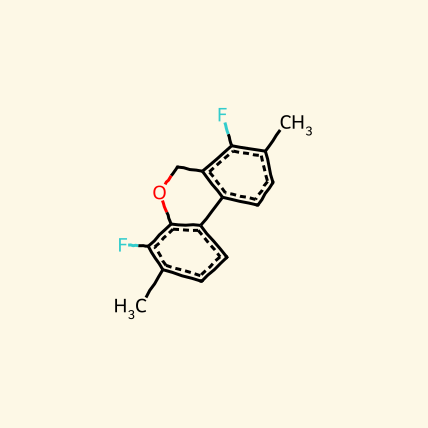 Cc1ccc2c(c1F)COc1c-2ccc(C)c1F